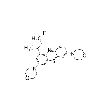 CCC(C)c1cc(N2CCOCC2)cc2[s+]c3cc(N4CCOCC4)ccc3nc12.[I-]